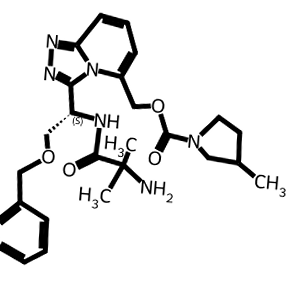 CC1CCN(C(=O)OCc2cccc3nnc([C@@H](COCc4ccccc4)NC(=O)C(C)(C)N)n23)C1